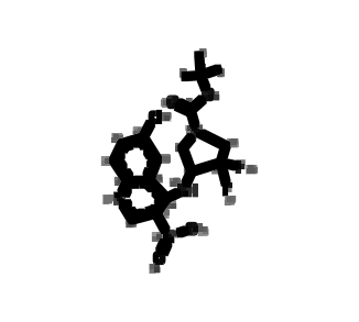 CC(C)(C)OC(=O)N1CC(Nc2c([N+](=O)[O-])cnc3ccc(Cl)cc23)C(F)(F)C1